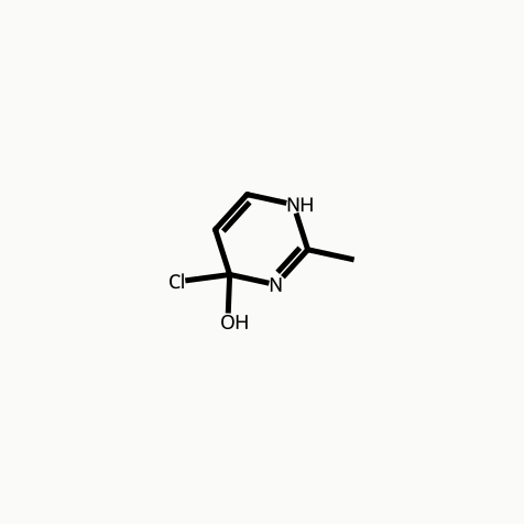 CC1=NC(O)(Cl)C=CN1